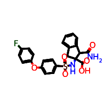 NC(=O)C1c2ccccc2CC1(NS(=O)(=O)c1ccc(Oc2ccc(F)cc2)cc1)C(=O)O